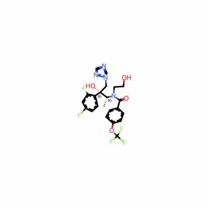 C[C@@H](N(CCO)C(=O)c1ccc(OC(F)(F)F)cc1)[C@](O)(Cn1cncn1)c1ccc(F)cc1F